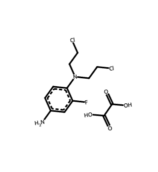 Nc1ccc(N(CCCl)CCCl)c(F)c1.O=C(O)C(=O)O